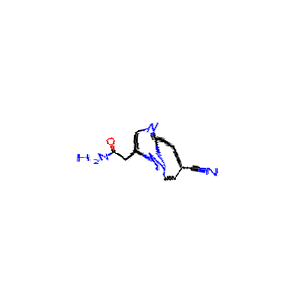 N#Cc1ccn2c(CC(N)=O)cnc2c1